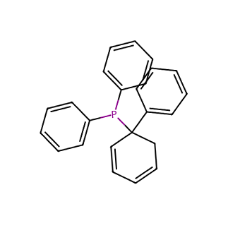 C1=CCC(c2ccccc2)(P(c2ccccc2)c2ccccc2)C=C1